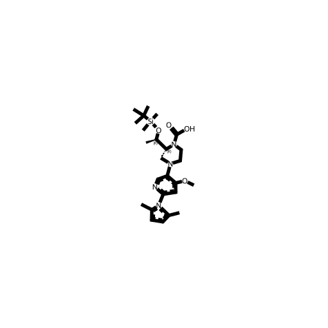 COc1cc(-n2c(C)ccc2C)ncc1N1CCN(C(=O)O)[C@@H]([C@@H](C)O[Si](C)(C)C(C)(C)C)C1